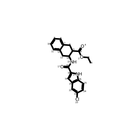 CCOC(=O)C1Cc2ccccc2CC1NC(=O)c1cc2cc(Cl)ccc2[nH]1